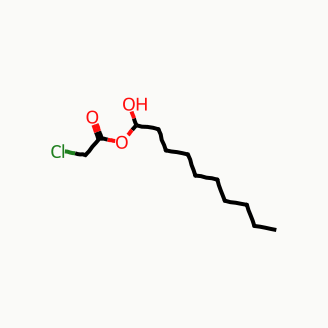 CCCCCCCCCC(O)OC(=O)CCl